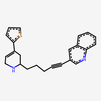 C(#Cc1cnc2ccccc2c1)CCCC1CC(c2cccs2)=CCN1